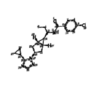 CCC(NC(=O)c1ccc(Cl)cc1)[C@H]1[C@@H]2C[C@@H](n3ncnc3C3CC3)C[C@@H]21